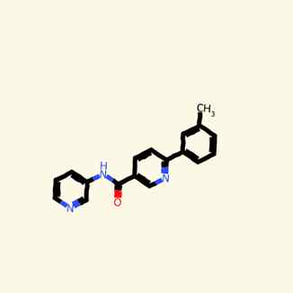 Cc1cccc(-c2ccc(C(=O)Nc3cccnc3)cn2)c1